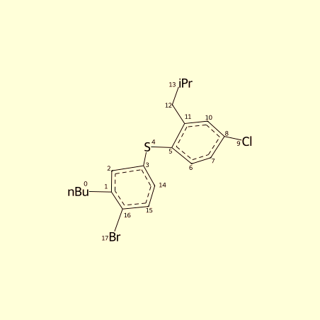 CCCCc1cc(Sc2ccc(Cl)cc2CC(C)C)ccc1Br